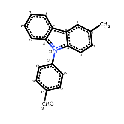 Cc1ccc2c(c1)c1ccccc1n2-c1ccc(C=O)cc1